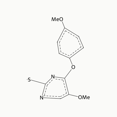 COc1ccc(Oc2nc([S])ncc2OC)cc1